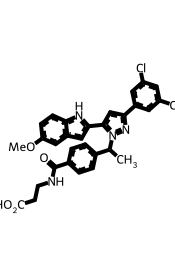 COc1ccc2[nH]c(-c3cc(-c4cc(Cl)cc(Cl)c4)nn3C(C)c3ccc(C(=O)NCCC(=O)O)cc3)cc2c1